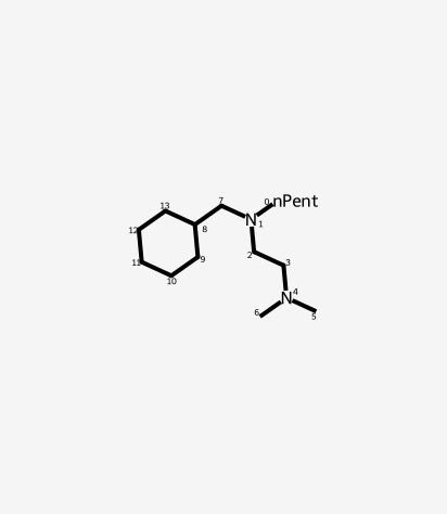 CCCCCN(CCN(C)C)CC1CCCCC1